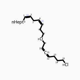 CCCCCCC/C=C\C/C=C\CCOCC=C=CCCCCl